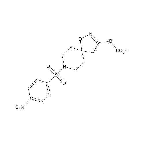 O=C(O)OC1=NOC2(CCN(S(=O)(=O)c3ccc([N+](=O)[O-])cc3)CC2)C1